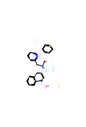 O=C1C(NC(Cc2ccccc2)C(=O)Nc2ccc(F)c(Br)c2)=CC(=NO)c2ccccc21